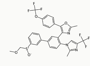 COC[S+]([O-])c1cccc(-c2ccc(-n3cc(C(F)(F)F)nc3C)c(-c3nc(C)oc3-c3ccc(OC(F)(F)F)cc3)c2)c1